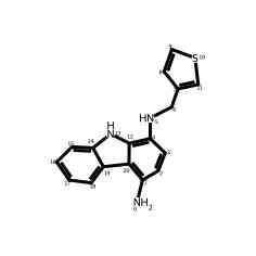 Nc1ccc(NCc2ccsc2)c2[nH]c3ccccc3c12